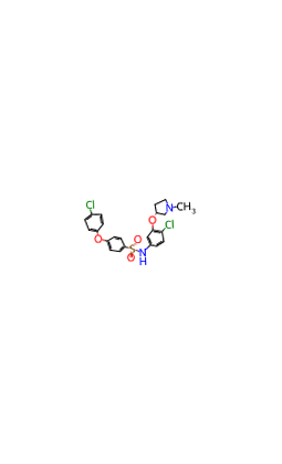 CN1CC[C@@H](Oc2cc(NS(=O)(=O)c3ccc(Oc4ccc(Cl)cc4)cc3)ccc2Cl)C1